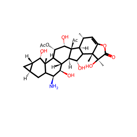 CC(=O)O[C@H]1[C@H]2[C@@H]([C@@H](O)[C@@H](N)C3C[C@H]4C[C@@H]4[C@H](O)[C@@]32C)[C@@H]2[C@@H](O)C3[C@H]([C@H](C)C=C4OC(=O)[C@@](C)(O)[C@@]43C)[C@@]2(C(C)=O)[C@H]1O